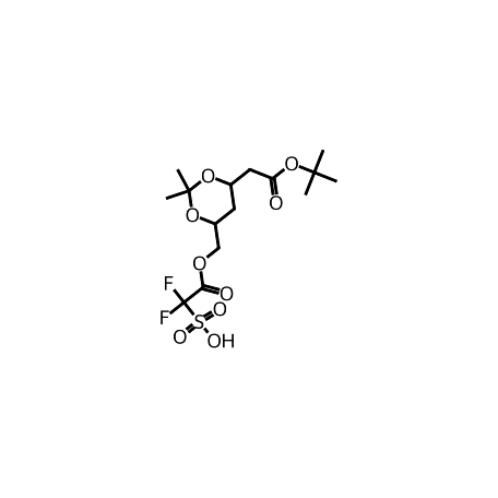 CC(C)(C)OC(=O)CC1CC(COC(=O)C(F)(F)S(=O)(=O)O)OC(C)(C)O1